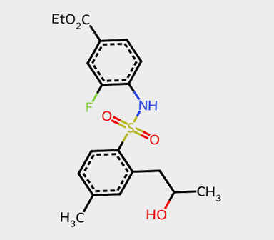 CCOC(=O)c1ccc(NS(=O)(=O)c2ccc(C)cc2CC(C)O)c(F)c1